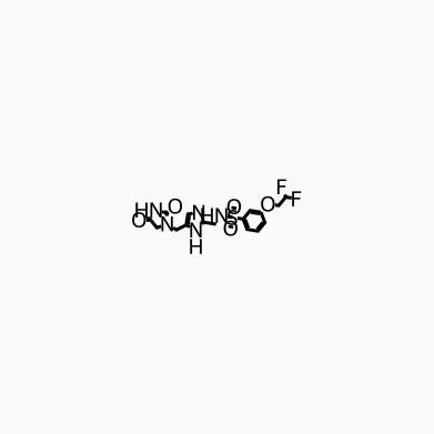 O=C1CN(Cc2cnc(CNS(=O)(=O)c3cccc(OCC(F)F)c3)[nH]2)C(=O)N1